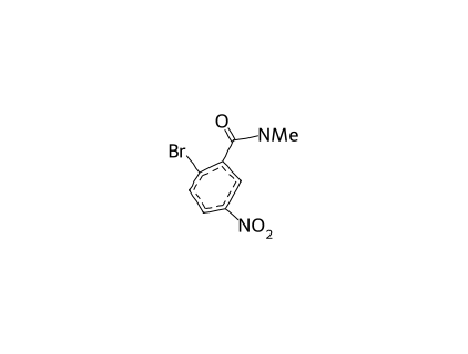 CNC(=O)c1cc([N+](=O)[O-])ccc1Br